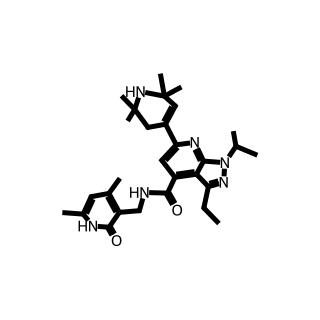 CCc1nn(C(C)C)c2nc(C3=CC(C)(C)NC(C)(C)C3)cc(C(=O)NCc3c(C)cc(C)[nH]c3=O)c12